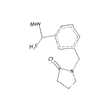 CNC(C)c1cccc(CN2CCCC2=O)c1